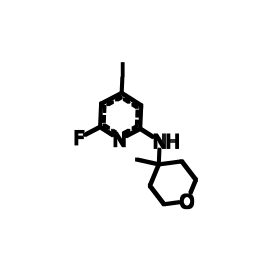 CC1(Nc2cc(I)cc(F)n2)CCOCC1